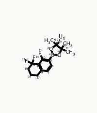 CC1(C)OB(c2ccc3c(c2F)C(F)(F)CCC3)OC1(C)C